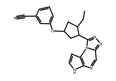 CCC1CC(Oc2cccc(C#N)c2)CC1c1nnc2cnc3[nH]ccc3n12